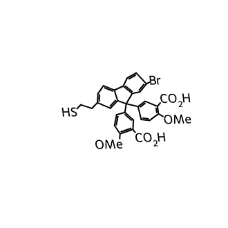 COc1ccc(C2(c3ccc(OC)c(C(=O)O)c3)c3cc(Br)ccc3-c3ccc(CCS)cc32)cc1C(=O)O